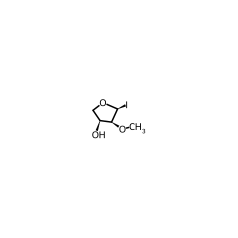 CO[C@@H]1[C@H](I)OC[C@@H]1O